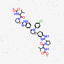 COC(=O)N[C@H](C(=O)N1CCC[C@H]1c1nc2c([nH]1)=CCC([C@H]1CC[C@H](c3ccc4[nH]c([C@@H]5CCCN5C(=O)[C@@H](NC(=O)OC)C(C)C)nc4c3)N1c1ccc(Cl)cc1)C=2)C(C)C